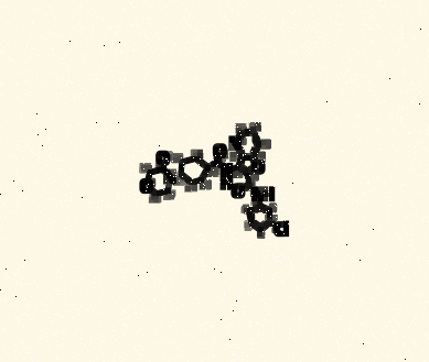 O=C(Nc1cccc(Cl)c1)c1oc2cccnc2c1NC(=O)[C@H]1CC[C@H](N2CCOCC2=O)CC1